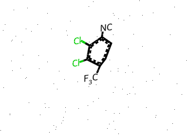 [C-]#[N+]c1ccc(C(F)(F)F)c(Cl)c1Cl